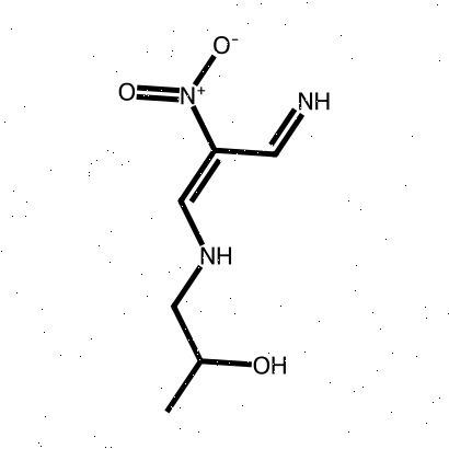 CC(O)CN/C=C(\C=N)[N+](=O)[O-]